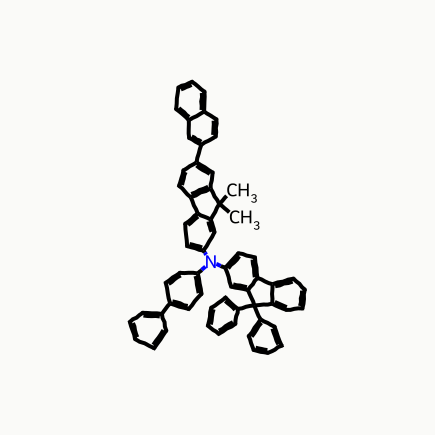 CC1(C)c2cc(-c3ccc4ccccc4c3)ccc2-c2ccc(N(c3ccc(-c4ccccc4)cc3)c3ccc4c(c3)C(c3ccccc3)(c3ccccc3)c3ccccc3-4)cc21